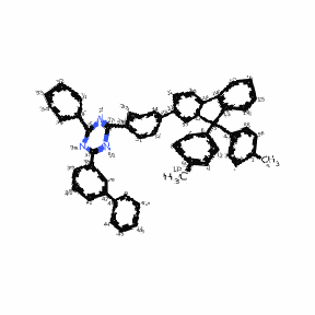 Cc1ccc(C2(c3ccc(C)cc3)c3ccccc3-c3ccc(-c4ccc(-c5nc(-c6ccccc6)nc(-c6cccc(-c7ccccc7)c6)n5)cc4)cc32)cc1